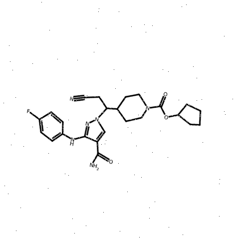 N#CCC(C1CCN(C(=O)OC2CCCC2)CC1)n1cc(C(N)=O)c(Nc2ccc(F)cc2)n1